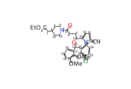 CCOC(=O)CC1CCN(C(=O)CCC2OC(c3cccc(OC)c3OC)c3cc(Cl)ccc3-n3c(C#N)ccc32)CC1